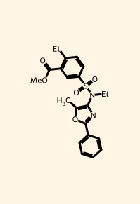 CCc1ccc(S(=O)(=O)N(CC)c2nc(-c3ccccc3)oc2C)cc1C(=O)OC